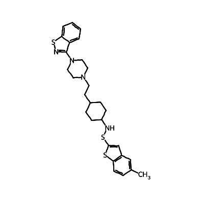 Cc1ccc2sc(SNC3CCC(CCN4CCN(c5nsc6ccccc56)CC4)CC3)cc2c1